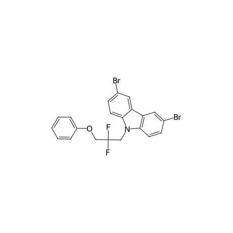 FC(F)(COc1ccccc1)Cn1c2ccc(Br)cc2c2cc(Br)ccc21